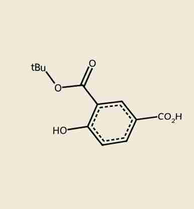 CC(C)(C)OC(=O)c1cc(C(=O)O)ccc1O